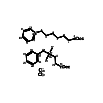 CCCCCCCCCCCCCCCC[n+]1ccccc1.CCCCCCCCCCCC[N+](C)(C)Cc1ccccc1.[Cl-].[Cl-]